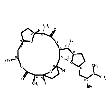 CCC[C@H]1C[C@@H]2CC[C@@H](O2)[C@H](C)C(=O)O[C@@H]([C@H](CC)[C@H]2CC[C@@H](C[C@@H](CCC)N(C)C)O2)[C@H](C)[C@@H]2CC[C@@H](O2)[C@@H](C)C(=O)O1